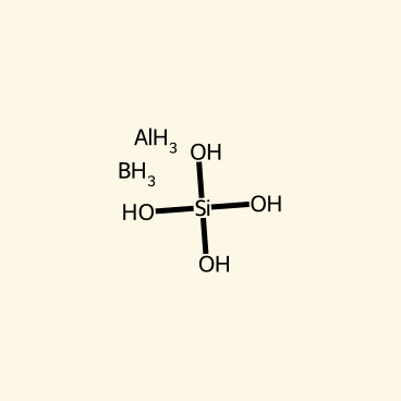 B.O[Si](O)(O)O.[AlH3]